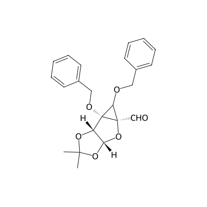 CC1(C)O[C@H]2O[C@]3(C=O)C(OCc4ccccc4)[C@]3(OCc3ccccc3)[C@H]2O1